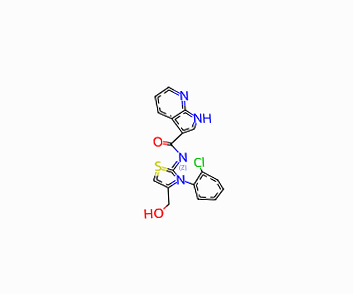 O=C(/N=c1\scc(CO)n1-c1ccccc1Cl)c1c[nH]c2ncccc12